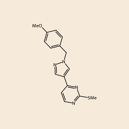 COc1ccc(Cn2cc(-c3ccnc(SC)n3)cn2)cc1